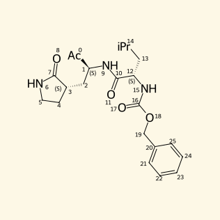 CC(=O)[C@H](C[C@@H]1CCNC1=O)NC(=O)[C@H](CC(C)C)NC(=O)OCc1ccccc1